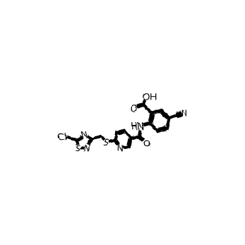 N#Cc1ccc(NC(=O)c2ccc(SCc3nsc(Cl)n3)nc2)c(C(=O)O)c1